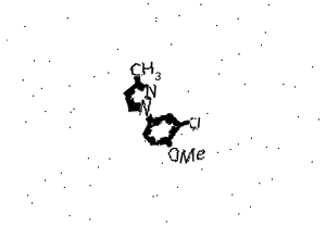 COc1ccc(-n2ccc(C)n2)cc1Cl